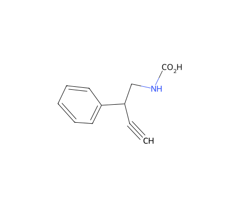 C#CC(CNC(=O)O)c1ccccc1